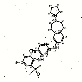 CP(C)(=O)c1cc(F)ccc1Nc1nc(Nc2ccc3c(c2)CCC(N2CCCC2)CC3)ncc1Cl